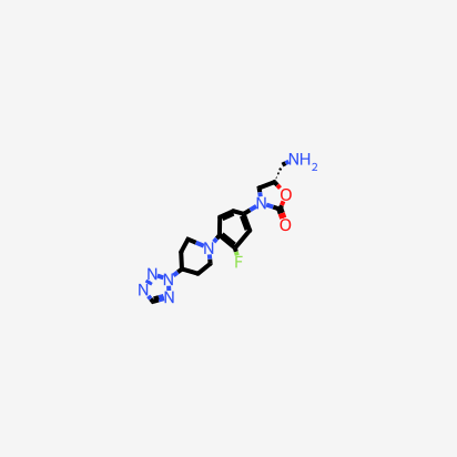 NC[C@H]1CN(c2ccc(N3CCC(n4ncnn4)CC3)c(F)c2)C(=O)O1